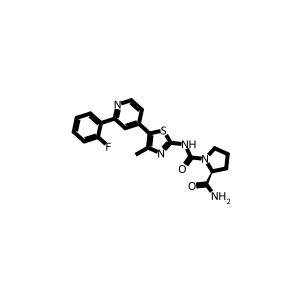 Cc1nc(NC(=O)N2CCC[C@H]2C(N)=O)sc1-c1ccnc(-c2ccccc2F)c1